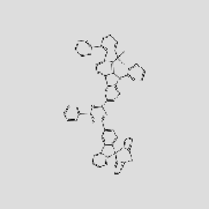 CC1(C)c2cccc(-c3ccccc3)c2-c2ccc3c4cc(-c5nc(-c6ccccc6)nc(-c6ccc7c(c6)-c6ccccc6C76c7ccccc7Sc7ccccc76)n5)ccc4n(-c4ccccc4)c3c21